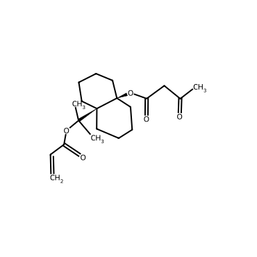 C=CC(=O)OC(C)(C)[C@]12CCCC[C@@]1(OC(=O)CC(C)=O)CCCC2